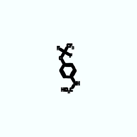 O=C(O)Nc1ccc(OC(F)(F)C(F)(F)F)cc1